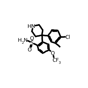 Cc1cc(C2(c3cc(OC(F)(F)F)ccc3S(N)(=O)=O)CCNCC2)ccc1Cl